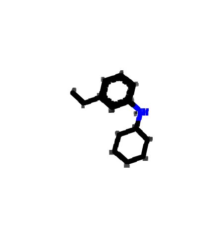 CCc1cccc(NC2CCCCC2)c1